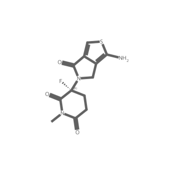 CN1C(=O)CC[C@](F)(N2Cc3c(csc3N)C2=O)C1=O